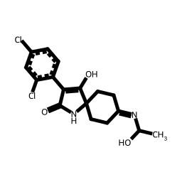 CC(O)N=C1CCC2(CC1)NC(=O)C(c1ccc(Cl)cc1Cl)=C2O